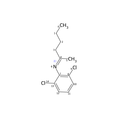 CCCC/C(C)=N/c1c(Cl)cccc1Cl